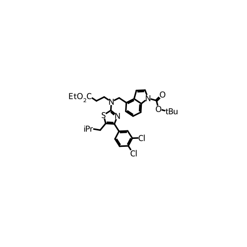 CCOC(=O)CCN(Cc1cccc2c1ccn2C(=O)OC(C)(C)C)c1nc(-c2ccc(Cl)c(Cl)c2)c(CC(C)C)s1